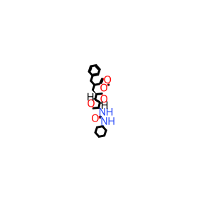 O=C(NC1CCCCC1)N[C@H]1CO[C@@H]2[C@@H](CC(Cc3ccccc3)C3=COCO3)CO[C@@H]21